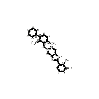 Fc1cccc(-c2nc3cnn(Cc4c(C(F)(F)F)ccc(-c5ccccc5)c4C(F)(F)F)cc-3n2)c1F